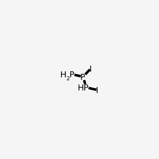 PP(I)PI